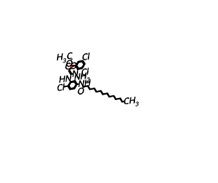 CCCCCCCCCCCCCC(=O)Nc1ccc(Cl)c(N/C(=C/C(=O)OCC)N(N)c2c(Cl)cc(Cl)cc2Cl)c1